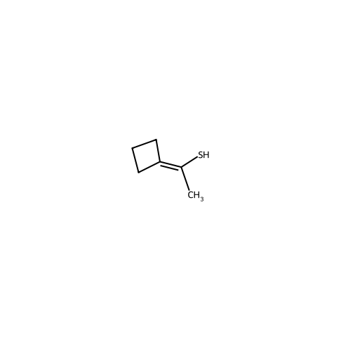 CC(S)=C1CCC1